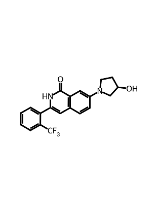 O=c1[nH]c(-c2ccccc2C(F)(F)F)cc2ccc(N3CCC(O)C3)cc12